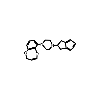 C1=COc2c(cccc2N2CCN(C3Cc4ccccc4C3)CC2)OC1